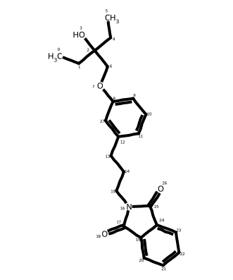 CCC(O)(CC)COc1cccc(CCCN2C(=O)c3ccccc3C2=O)c1